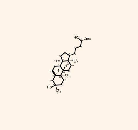 CC(C)(C)[C@@H](O)CCC[C@@H]1CC[C@H]2[C@@H]3CC=C4C[C@](O)(C(F)(F)F)CC[C@]4(C)[C@H]3CC[C@]12C